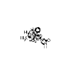 CC(C)(C)OC(=O)N(OC(=O)N1CCNC(=O)C1)S(=O)(=O)c1ccccc1S(C)(=O)=O